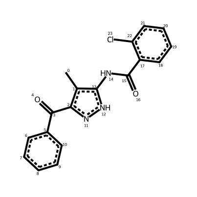 Cc1c(C(=O)c2ccccc2)n[nH]c1NC(=O)c1ccccc1Cl